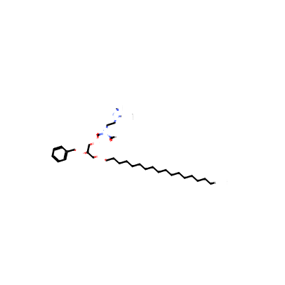 CCCCCCCCCCCCCCCCCCOCC(COC(=O)N(CC[N+](C)(C)C)C(C)=O)OCc1ccccc1.[I-]